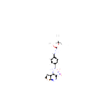 CC(C)(C)OC(=O)NCc1ccc(CNc2c([N+](=O)[O-])cnc3sccc23)cc1